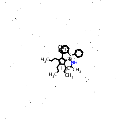 CCCC1=C(CCC)C(CCC)[C]([Zr]([NH]C(C)C)[SiH](c2ccccc2)c2ccccc2)=C1CCC